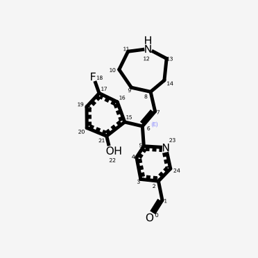 O=Cc1ccc(/C(=C/C2CCCNCC2)c2cc(F)ccc2O)nc1